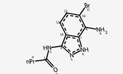 CCCC(=O)Nc1n[nH]c2c(N)c(Br)ccc12